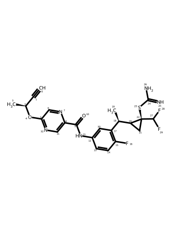 C#C[C@H](C)Oc1cnc(C(=O)Nc2ccc(F)c([C@@H](C)C3C[C@@]3(SC(=N)N)C(F)F)c2)cn1